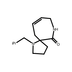 CC(C)CN1CCCC12CC=CCNC2=O